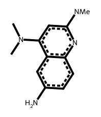 CNc1cc(N(C)C)c2cc(N)ccc2n1